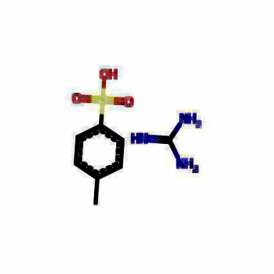 Cc1ccc(S(=O)(=O)O)cc1.N=C(N)N